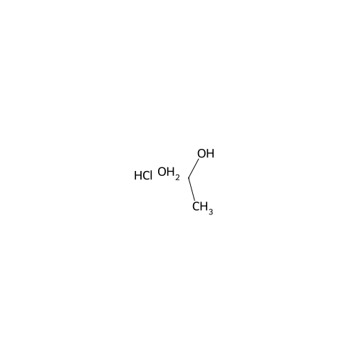 CCO.Cl.O